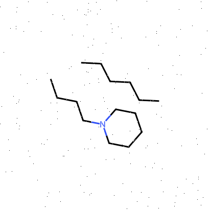 CCCCCC.CCCCN1CCCCC1